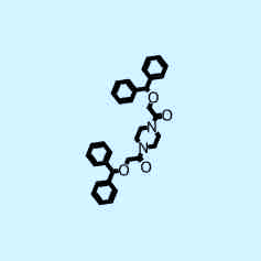 O=C(COC(c1ccccc1)c1ccccc1)N1CCN(C(=O)COC(c2ccccc2)c2ccccc2)CC1